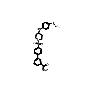 CNC(=O)c1cccc(-c2ccc(S(=O)(=O)N3CCC(Nc4ccc(OC(F)(F)F)cc4)CC3)cc2)c1